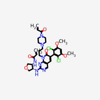 C=CC(=O)N[C@H]1COC[C@H]1Nc1ncc2cc(-c3c(Cl)c(OC)cc(OC)c3Cl)c(=O)n(CCCN3CCN(C(=O)C=C)CC3)c2n1